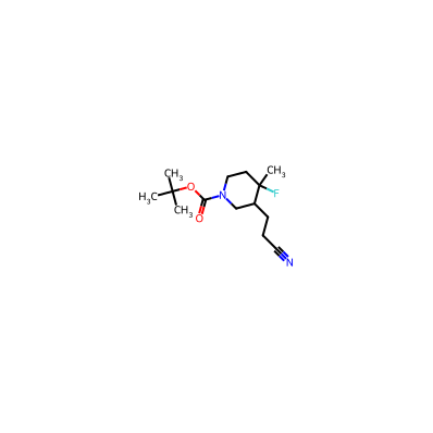 CC(C)(C)OC(=O)N1CCC(C)(F)C(CCC#N)C1